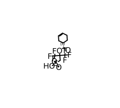 O=C(OC(CS(=O)(=O)O)(C(F)(F)F)C(F)(F)F)[C@@H]1CC=CCC1